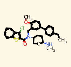 CCc1ccc(-c2ccc(OC)c(CN(C(=O)c3sc4ccccc4c3Cl)[C@H]3CC[C@H](NC)CC3)c2)cc1